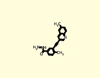 Cc1ccc2ncc(C#Cc3cc(C(=O)NN)ccc3C)cc2c1